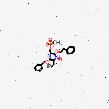 CC(C)Cc1c(OCc2ccccc2)nc(COS(C)(=O)=O)c(OCCc2ccccc2)[n+]1[O-]